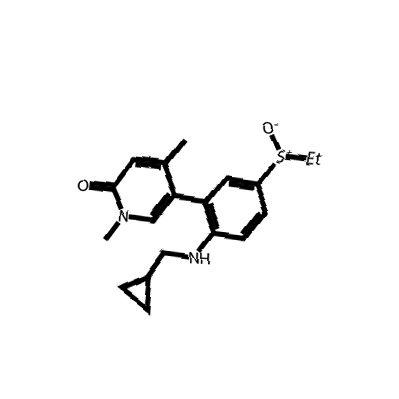 CC[S+]([O-])c1ccc(NCC2CC2)c(-c2cn(C)c(=O)cc2C)c1